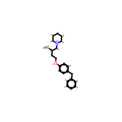 CCCC(CCOc1ccc(Cc2ccccc2)cc1)CN1CCCCC1